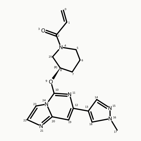 C=CC(=O)N1CCC[C@@H](Oc2nc(-c3cnn(C)c3)cc3nccn23)C1